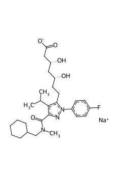 CC(C)c1c(C(=O)N(C)CC2CCCCC2)nn(-c2ccc(F)cc2)c1CC[C@@H](O)C[C@@H](O)CC(=O)[O-].[Na+]